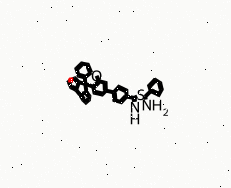 N=C(SC(N)c1ccccc1)c1ccc(-c2ccc3c(c2)Oc2ccccc2C32c3ccccc3-c3ccccc32)cc1